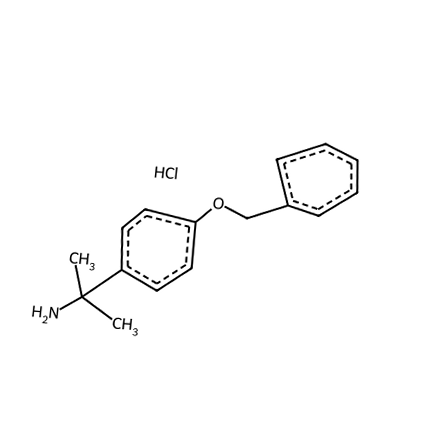 CC(C)(N)c1ccc(OCc2ccccc2)cc1.Cl